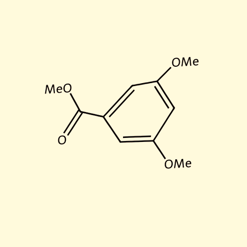 [CH2]OC(=O)c1cc(OC)cc(OC)c1